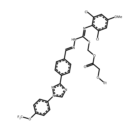 CCOCC(=O)OCS/C(=N\c1c(Cl)cc(OC)cc1Cl)N/N=C/c1ccc(-c2ncn(-c3ccc(OC(F)(F)F)cc3)n2)cc1